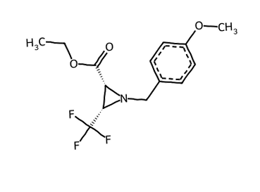 CCOC(=O)[C@H]1[C@@H](C(F)(F)F)N1Cc1ccc(OC)cc1